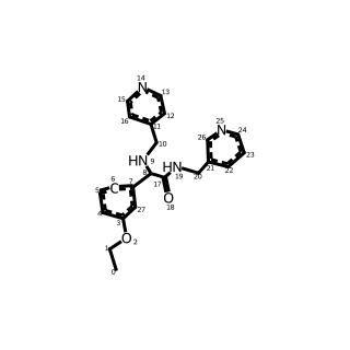 CCOc1cccc(C(NCc2ccncc2)C(=O)NCc2cccnc2)c1